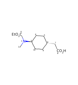 CCOC(=O)N(C)[C@H]1CC[C@H](CC(=O)O)CC1